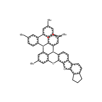 CC(C)(C)c1cc(-c2cc(C(C)(C)C)ccc2N2c3ccc(C(C)(C)C)cc3B3c4ccc5c(oc6c7c(ccc65)CCC7)c4Oc4cc(C(C)(C)C)cc2c43)cc(C(C)(C)C)c1